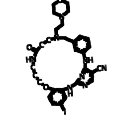 N#Cc1cnc2nc1Nc1cccc(c1)CN(CCN1CCOCC1)CCC(=O)NCCCOc1ccc(I)cc1N2